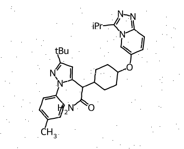 Cc1ccc(-n2nc(C(C)(C)C)cc2C(C(N)=O)C2CCC(Oc3ccc4nnc(C(C)C)n4c3)CC2)cc1